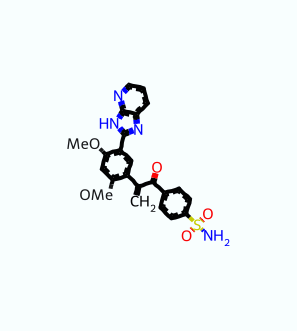 C=C(C(=O)c1ccc(S(N)(=O)=O)cc1)c1cc(-c2nc3cccnc3[nH]2)c(OC)cc1OC